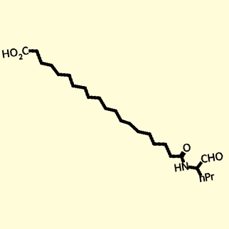 CCCC(C=O)NC(=O)CCCCCCCCCCCCCCCCCCC(=O)O